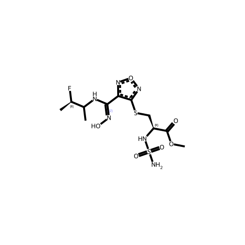 COC(=O)[C@H](CSc1nonc1/C(=N/O)NC(C)[C@@H](C)F)NS(N)(=O)=O